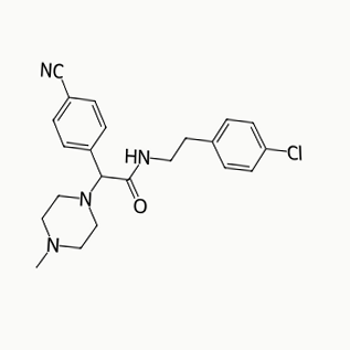 CN1CCN(C(C(=O)NCCc2ccc(Cl)cc2)c2ccc(C#N)cc2)CC1